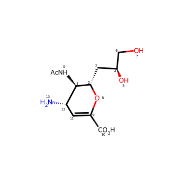 CC(=O)N[C@H]1[C@H](C[C@H](O)CO)OC(C(=O)O)=C[C@@H]1N